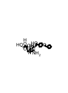 Nc1nc(NCC(O)c2ccc(OCc3ccccc3)cc2)nc2c1ncn2[C@@H]1O[C@H](CO)[C@@H](O)[C@H]1O